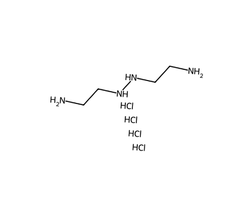 Cl.Cl.Cl.Cl.NCCNNCCN